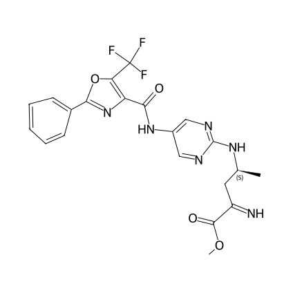 COC(=O)C(=N)C[C@H](C)Nc1ncc(NC(=O)c2nc(-c3ccccc3)oc2C(F)(F)F)cn1